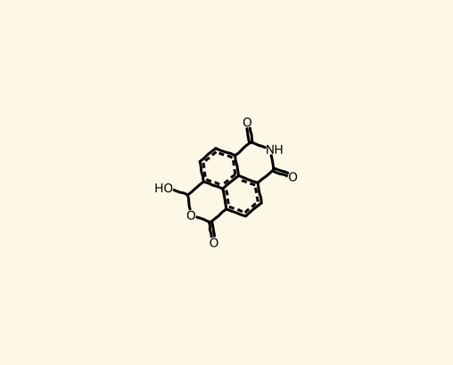 O=C1NC(=O)c2ccc3c4c(ccc1c24)C(=O)OC3O